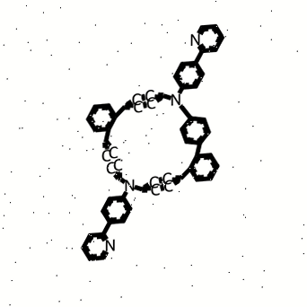 c1ccc(-c2ccc(N3c4ccc(cc4)-c4ccccc4-c4ccc(cc4)N(c4ccc(-c5ccccn5)cc4)c4ccc(cc4)-c4ccccc4-c4ccc3cc4)cc2)nc1